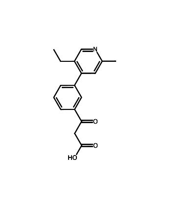 CCc1cnc(C)cc1-c1cccc(C(=O)CC(=O)O)c1